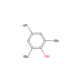 CCCc1cc(C(C)(C)C)c(O)c(C(C)(C)C)c1